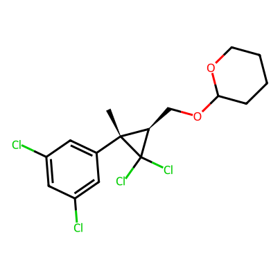 C[C@@]1(c2cc(Cl)cc(Cl)c2)[C@@H](COC2CCCCO2)C1(Cl)Cl